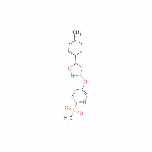 Cc1ccc(C2CC(Oc3ccc(S(C)(=O)=O)nc3)=NO2)cc1